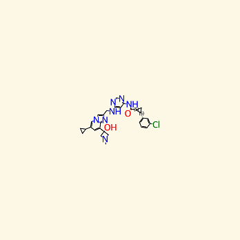 CN1CC(O)(c2cc(C3CC3)cn3cc(CNc4cc(NC(=O)[C@H]5C[C@@H]5c5cccc(Cl)c5)ncn4)nc23)C1